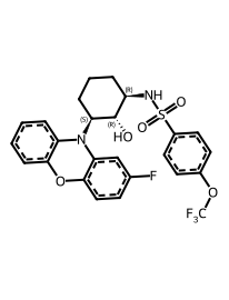 O=S(=O)(N[C@@H]1CCC[C@H](N2c3ccccc3Oc3ccc(F)cc32)[C@H]1O)c1ccc(OC(F)(F)F)cc1